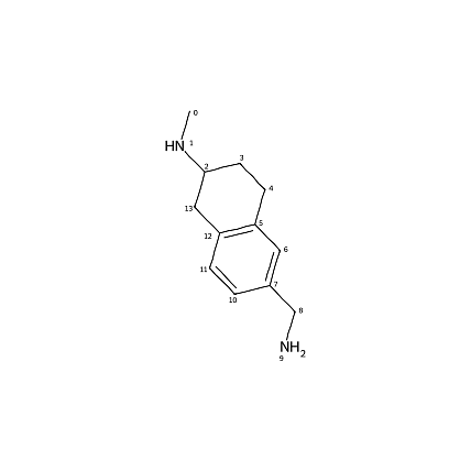 CNC1CCc2cc(CN)ccc2C1